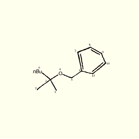 CCCCC(C)(C)OCc1ccccc1